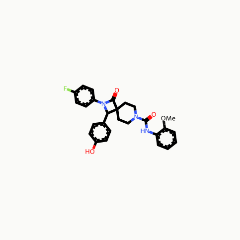 COc1ccccc1NC(=O)N1CCC2(CC1)C(=O)N(c1ccc(F)cc1)C2c1ccc(O)cc1